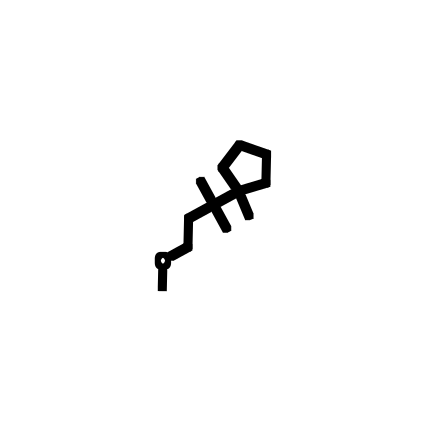 COCCC(C)(C)C1(C)CCCC1